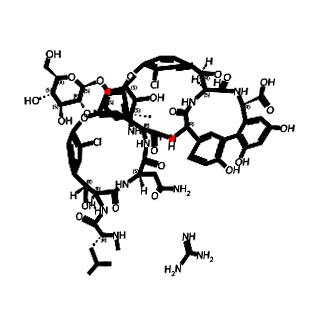 CN[C@H](CC(C)C)C(=O)N[C@H]1C(=O)N[C@@H](CC(N)=O)C(=O)N[C@H]2C(=O)N[C@H]3C(=O)N[C@H](C(=O)N[C@@H](C(=O)O)c4cc(O)cc(O)c4-c4cc3ccc4O)[C@H](O)c3ccc(c(Cl)c3)Oc3cc2cc(c3O[C@@H]2O[C@H](CO)[C@@H](O)[C@H](O)[C@H]2O[C@H]2C[C@](C)(N)C(O)[C@H](C)O2)Oc2ccc(cc2Cl)[C@H]1O.N=C(N)N